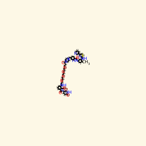 Cc1ccc(NC(=O)c2ccc(CN3CCN(C(=O)CCOCCOCCOCCOCCNc4cccc5c4C(=O)N(C4CCC(=O)NC4=O)C5=O)CC3)cc2)cc1Nc1nc(-c2cccnc2)cs1